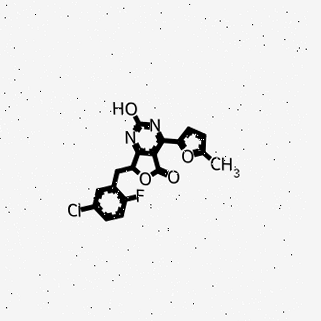 Cc1ccc(-c2nc(O)nc3c2C(=O)OC3Cc2cc(Cl)ccc2F)o1